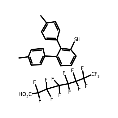 Cc1ccc(-c2cccc(S)c2-c2ccc(C)cc2)cc1.O=C(O)C(F)(F)C(F)(F)C(F)(F)C(F)(F)C(F)(F)C(F)(F)C(F)(F)F